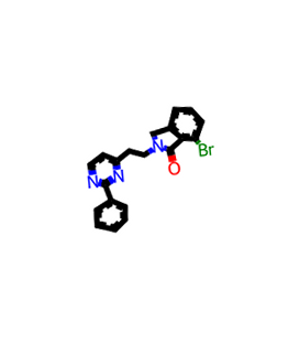 O=C1c2c(Br)cccc2CN1CCc1ccnc(-c2ccccc2)n1